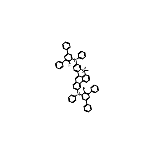 C[Si]1(C)c2cc(N(c3ccccc3)c3cc(-c4ccccc4)cc(-c4ccccc4)c3F)ccc2-c2cc3ccc(N(c4ccccc4)c4cc(-c5ccccc5)cc(-c5ccccc5)c4F)cc3c3cccc1c23